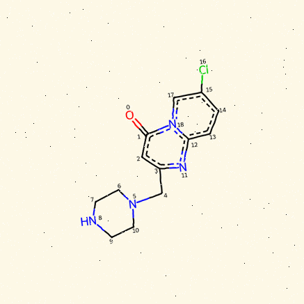 O=c1cc(CN2CCNCC2)nc2ccc(Cl)cn12